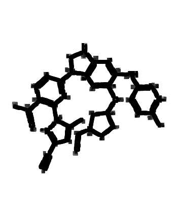 C#Cc1cc(C)n(-c2nc(N3CNc4cc(Nc5ccc(C)nn5)c(OC5CCN(C=O)C5)cc43)ccc2C(C)=O)n1